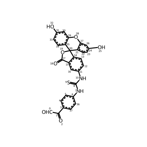 O=CC(=O)c1ccc(NC(=S)Nc2ccc3c(c2)C(=O)OC32c3ccc(O)cc3Oc3cc(O)ccc32)cc1